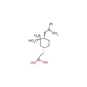 CC(C)N(C)C[C@H]1CC[C@H](CCB(O)O)C[C@@]1(N)C(=O)O